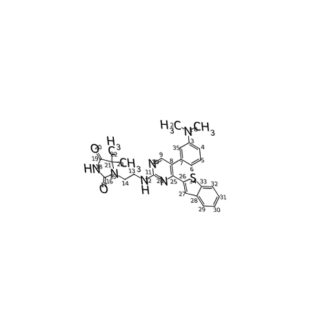 CN(C)c1cccc(-c2cnc(NCCN3C(=O)NC(=O)C3(C)C)nc2-c2cc3ccccc3s2)c1